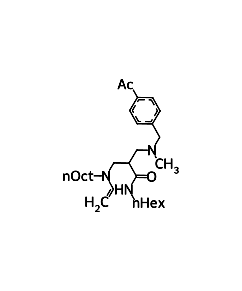 C=CN(CCCCCCCC)CC(CN(C)Cc1ccc(C(C)=O)cc1)C(=O)NCCCCCC